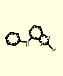 Sc1nc2cccc(Nc3ccccc3)c2s1